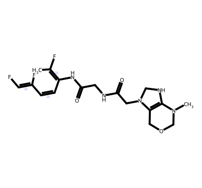 C\C(F)=C(/C=C\C(F)=C\F)NC(=O)CNC(=O)CN1CNC2=C1COCN2C